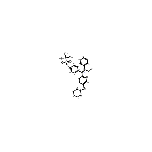 CC/C(=C(\c1ccc(OC2CCCCO2)cc1)c1ccc(OS(=O)(=O)C(F)(F)F)cc1)c1ccccc1